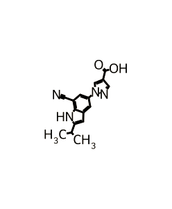 CC(C)c1cc2cc(-n3cc(C(=O)O)cn3)cc(C#N)c2[nH]1